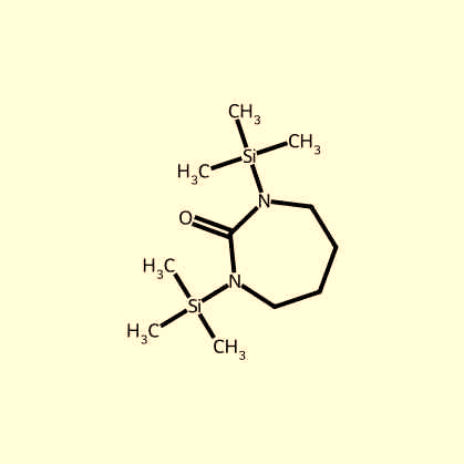 C[Si](C)(C)N1CCCCN([Si](C)(C)C)C1=O